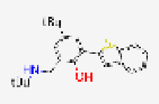 CC(C)(C)NCc1cc(C(C)(C)C)cc(-c2cc3ccccc3s2)c1O